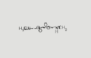 CCNCCCOC(=O)/C=C/C(=O)OCCCNCC